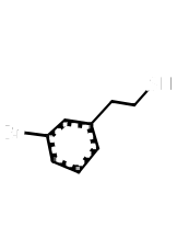 SCCc1cccc(Br)c1